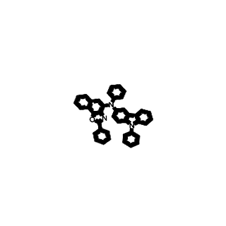 c1ccc(-c2nc3c(N(c4ccccc4)c4ccc5c(c4)c4ccccc4n5-c4ccccc4)cc4ccccc4c3o2)cc1